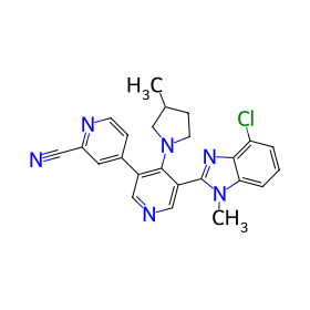 CC1CCN(c2c(-c3ccnc(C#N)c3)cncc2-c2nc3c(Cl)cccc3n2C)C1